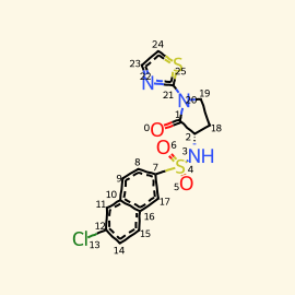 O=C1[C@@H](NS(=O)(=O)c2ccc3cc(Cl)ccc3c2)CCN1c1nccs1